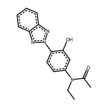 CCN(C(C)=O)c1ccc(-n2nc3ccccc3n2)c(O)c1